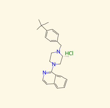 C[C@@H]1CN(c2nccc3ccccc23)CCN1Cc1ccc(C(C)(C)C)cc1.Cl